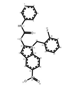 O=C(Nc1cccnc1)Oc1cc2cc([N+](=O)[O-])ccc2n1Cc1ccccc1F